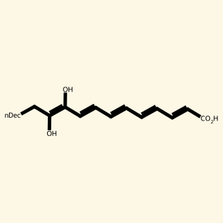 CCCCCCCCCCCC(O)=C(O)C=CC=CC=CC=CC(=O)O